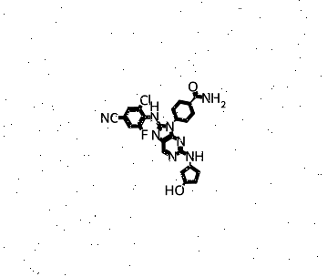 N#Cc1cc(F)c(Nc2nc3cnc(N[C@@H]4CC[C@@H](O)C4)nc3n2[C@H]2CC[C@H](C(N)=O)CC2)c(Cl)c1